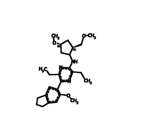 CCc1nc(-c2cc3c(cc2OC)CCC3)c(CC)nc1NC1C[C@H](OC)C[C@H]1COC